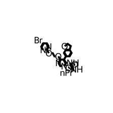 CCCNS(=O)(=O)Nc1ncnc(OCCOc2ncc(Br)cn2)c1-c1ccc2c(c1)OCC2